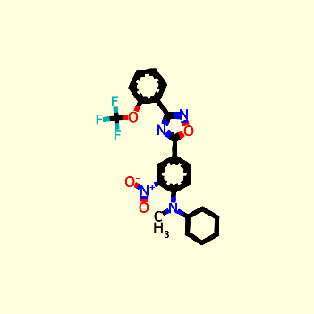 CN(c1ccc(-c2nc(-c3ccccc3OC(F)(F)F)no2)cc1[N+](=O)[O-])C1CCCCC1